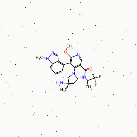 COc1ncc(C(=O)NC(C)C(F)(F)F)c(N2CC[C@](C)(N)C2)c1-c1cccc2c1cnn2C